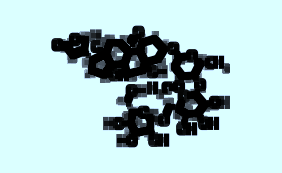 CO[C@@H]1C[C@@H](O[C@H]2CC[C@]3(C=O)C4CC[C@]5(C)[C@@H](C6=CC(=O)OC6)CC[C@@]5(O)C4CC[C@@]3(O)C2)O[C@H](C)[C@H]1O[C@H]1O[C@@H](CO[C@H]2O[C@@H](CO)[C@H](O)[C@H](O)[C@@H]2O)[C@H](O)[C@H](O)[C@@H]1O